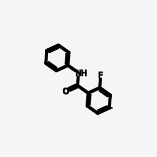 O=C(Nc1ccccc1)c1cc[c]cc1F